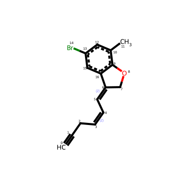 C#CC/C=C\C=C1/COc2c(C)cc(Br)cc21